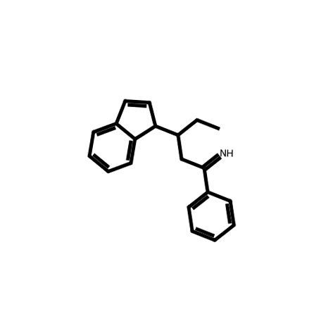 CCC(CC(=N)c1ccccc1)C1C=Cc2ccccc21